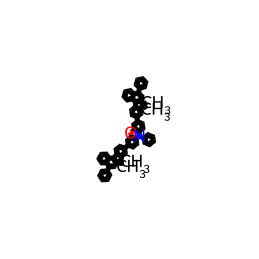 CC1(C)c2cc(-c3ccc4c(c3)Oc3cc(-c5ccc6c(c5)C(C)(C)c5cc(-c7ccccc7)c7ccccc7c5-6)ccc3N4c3ccccc3)ccc2-c2c1cc(-c1ccccc1)c1ccccc21